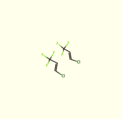 FC(F)(F)C=CCl.FC(F)(F)C=CCl